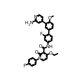 CCOc1ccn(-c2ccc(F)cc2)c(=O)c1C(=O)Nc1ccc(-c2ccc(OC)c(-c3ccnc(N)c3)c2)c(F)c1